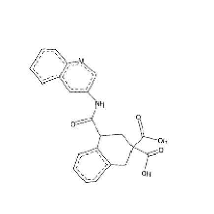 O=C(Nc1cnc2ccccc2c1)C1CC(C(=O)O)(C(=O)O)Cc2ccccc21